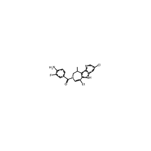 CCC1=CN(C(=O)c2ccc(N)c(F)c2)CC(C)c2c1[nH]c1cc(Cl)cnc21